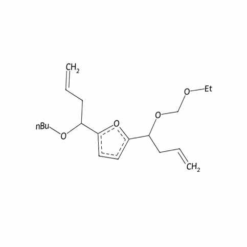 C=CCC(OCCCC)c1ccc(C(CC=C)OCOCC)o1